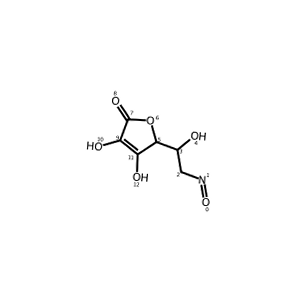 O=NCC(O)C1OC(=O)C(O)=C1O